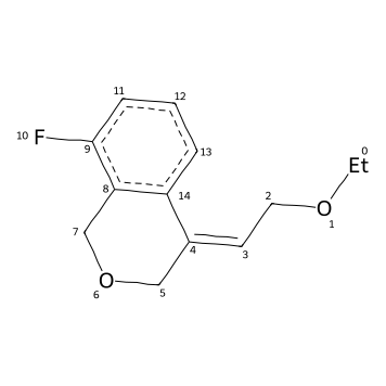 CCOC/C=C1/COCc2c(F)cccc21